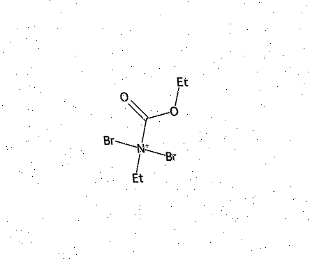 CCOC(=O)[N+](Br)(Br)CC